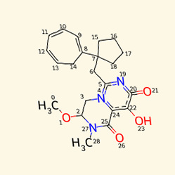 COC1Cn2c(CC3(C4=CC=CC=CC4)CCCC3)nc(=O)c(O)c2C(=O)N1C